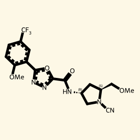 COC[C@@H]1C[C@@H](NC(=O)c2nnc(-c3cc(C(F)(F)F)ccc3OC)o2)CN1C#N